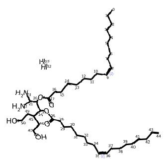 CCCCCCCC/C=C\CCCCCCCC(=O)OC(C(N)N)C(OC(=O)CCCCCCC/C=C\CCCCCCCC)C(CCO)CCO.I.I